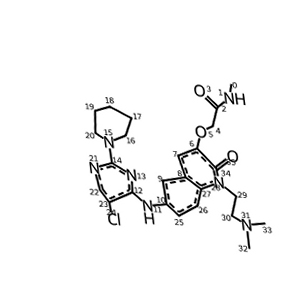 CNC(=O)COc1cc2cc(Nc3nc(N4CCCCC4)ncc3Cl)ccc2n(CCN(C)C)c1=O